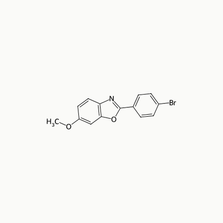 COc1ccc2nc(-c3ccc(Br)cc3)oc2c1